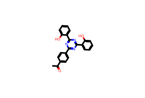 CC(=O)c1ccc(-c2nc(-c3ccccc3O)nc(-c3ccccc3O)n2)cc1